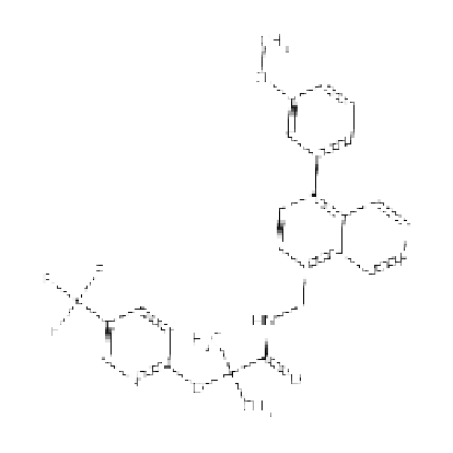 COc1cccc(-c2ccc(CNC(=O)C(C)(C)Oc3ccc(C(F)(F)F)cn3)c3cnccc23)c1